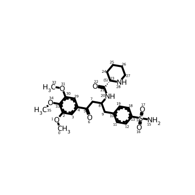 COc1cc(C(=O)CC(Cc2ccc(S(N)(=O)=O)cc2)NC(=O)[C@@H]2CCCCN2)cc(OC)c1OC